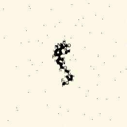 CC(C)n1c(=O)n(C)c2nnc3cc(F)c(-c4ccc([C@@H](C)OCCN5CC[C@@H](OC(F)F)C5)nc4)cc3c21